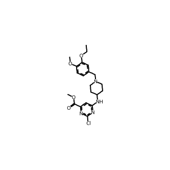 CCOc1cc(CN2CCC(Nc3cc(C(=O)OC)nc(Cl)n3)CC2)ccc1OC